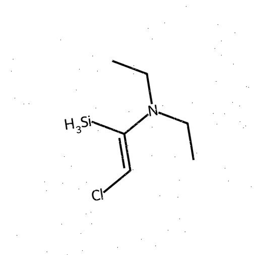 CCN(CC)C([SiH3])=CCl